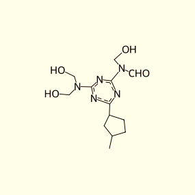 CC1CCC(c2nc(N(C=O)CO)nc(N(CO)CO)n2)C1